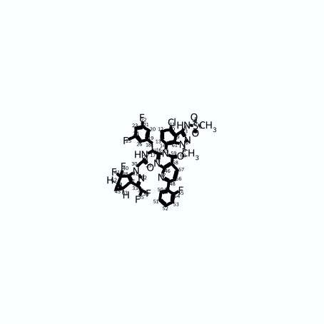 Cn1nc(NS(C)(=O)=O)c2c(Cl)ccc(-n3c([C@H](Cc4cc(F)cc(F)c4)NC(=O)Cn4nc(C(F)F)c5c4C(F)(F)[C@@H]4C[C@H]54)nc4nc(-c5ccccc5F)ccc4c3=O)c21